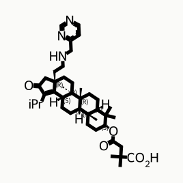 CC(C)C1=C2[C@H]3CC[C@@H]4[C@@]5(C)CC[C@H](OC(=O)CC(C)(C)C(=O)O)C(C)(C)[C@@H]5CC[C@@]4(C)[C@]3(C)CC[C@@]2(CCNCc2ccncn2)CC1=O